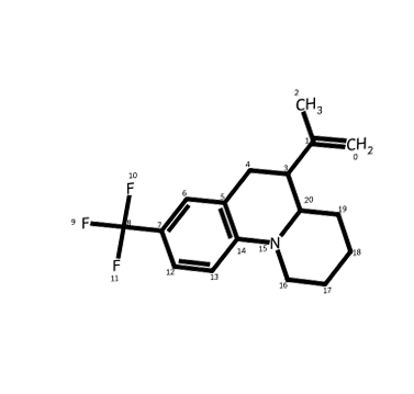 C=C(C)C1Cc2cc(C(F)(F)F)ccc2N2CCCCC12